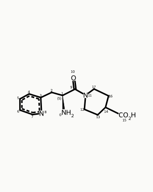 N[C@@H](Cc1ccccn1)C(=O)N1CCC(C(=O)O)CC1